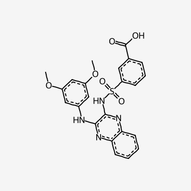 COc1cc(Nc2nc3ccccc3nc2NS(=O)(=O)c2cccc(C(=O)O)c2)cc(OC)c1